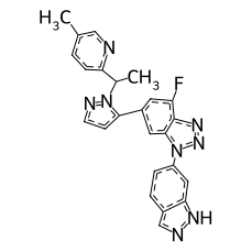 Cc1ccc(C(C)n2nccc2-c2cc(F)c3nnn(-c4ccc5cn[nH]c5c4)c3c2)nc1